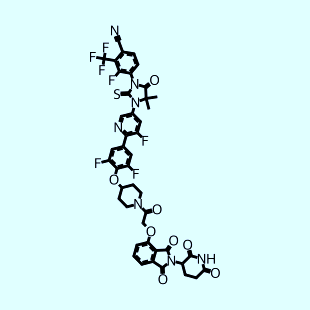 CC1(C)C(=O)N(c2ccc(C#N)c(C(F)(F)F)c2F)C(=S)N1c1cnc(-c2cc(F)c(OC3CCN(C(=O)COc4cccc5c4C(=O)N(C4CCC(=O)NC4=O)C5=O)CC3)c(F)c2)c(F)c1